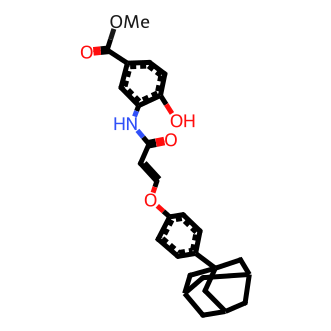 COC(=O)c1ccc(O)c(NC(=O)C=COc2ccc(C34CC5CC(CC(C5)C3)C4)cc2)c1